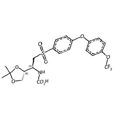 CC1(C)OC[C@@H]([C@@H](CS(=O)(=O)c2ccc(Oc3ccc(OC(F)(F)F)cc3)cc2)NC(=O)O)O1